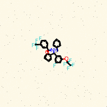 O=C(N[C@](Cc1ccccc1)(c1ccccc1)c1cc(F)cc(OC(F)(F)C(F)F)c1)c1ccc(F)c(C(F)(F)F)c1